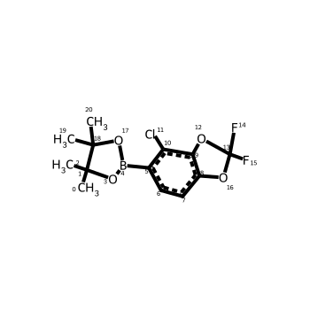 CC1(C)OB(c2ccc3c(c2Cl)OC(F)(F)O3)OC1(C)C